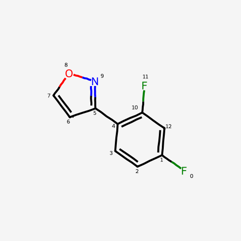 Fc1ccc(-c2[c]con2)c(F)c1